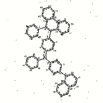 c1ccc(-c2c(-c3ccc(N(c4ccccc4)c4ccc(-c5cccc6ccccc56)cc4)cc3)c3ccccc3c3ccccc23)cc1